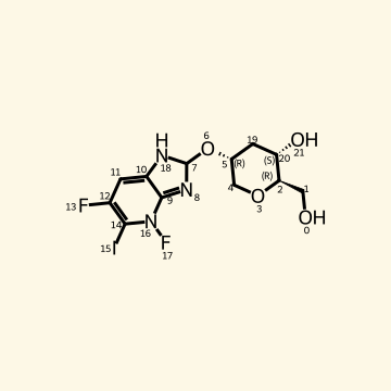 OC[C@H]1OC[C@H](OC2N=C3C(=CC(F)=C(I)N3F)N2)C[C@@H]1O